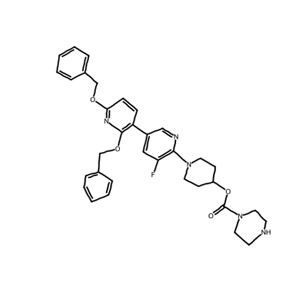 O=C(OC1CCN(c2ncc(-c3ccc(OCc4ccccc4)nc3OCc3ccccc3)cc2F)CC1)N1CCNCC1